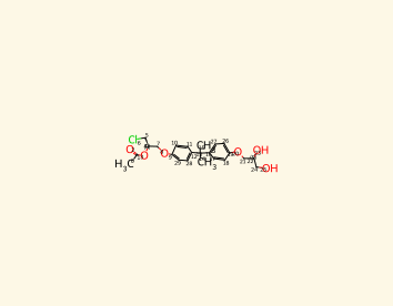 CC(=O)O[C@@H](CCl)COc1ccc(C(C)(C)c2ccc(OC[C@@H](O)CO)cc2)cc1